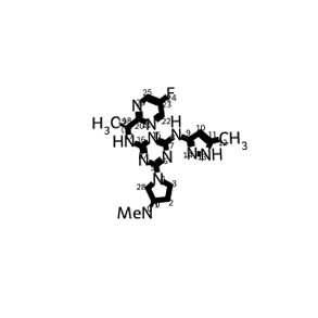 CN[C@@H]1CCN(c2nc(Nc3cc(C)[nH]n3)nc(N[C@@H](C)c3ncc(F)cn3)n2)C1